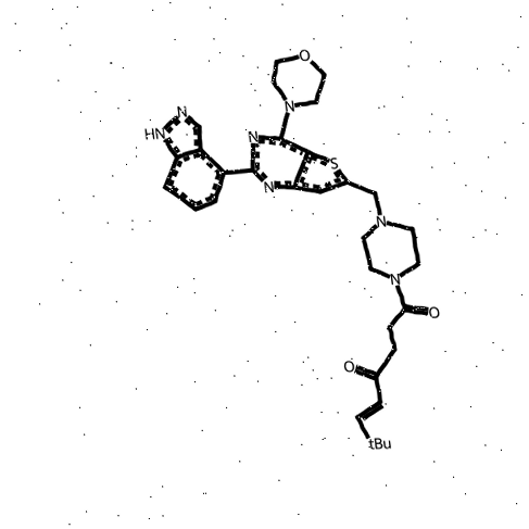 CC(C)(C)C=CC(=O)CCC(=O)N1CCN(Cc2cc3nc(-c4cccc5[nH]ncc45)nc(N4CCOCC4)c3s2)CC1